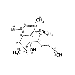 C#CCCC(CC)C1(O)c2c(Br)c(C)cc(Br)c2CC1(C)C